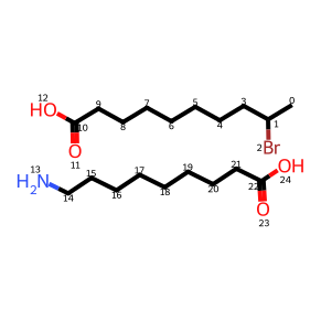 CC(Br)CCCCCCCC(=O)O.NCCCCCCCCC(=O)O